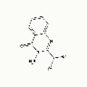 Bn1c(C(C)Br)nc2ccccc2c1=O